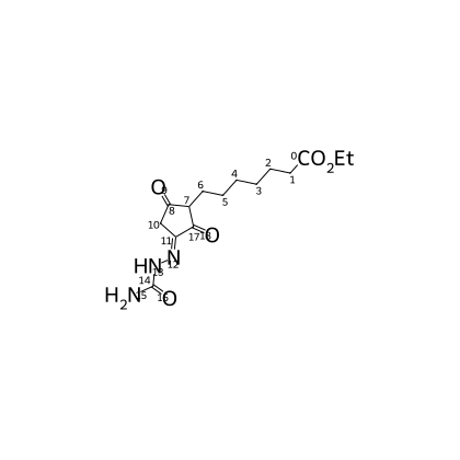 CCOC(=O)CCCCCCC1C(=O)CC(=NNC(N)=O)C1=O